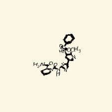 Cc1ncc(-c2cnc(NC(=O)N3CCC[C@H]3C(N)=O)s2)cc1NS(=O)(=O)c1ccccc1